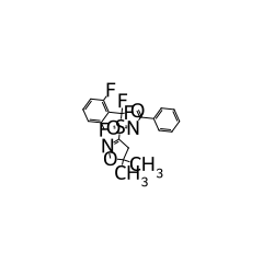 CC1(C)CC(S(=O)(=NC(=O)c2ccccc2)C(F)(F)c2c(F)cccc2F)=NO1